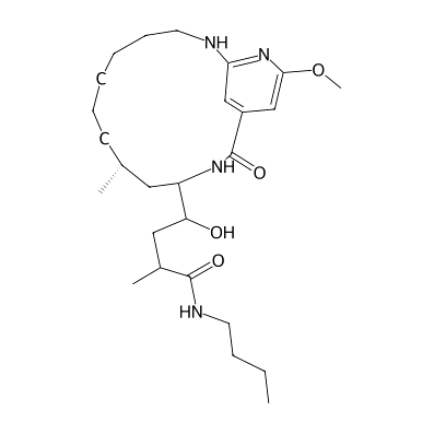 CCCCNC(=O)C(C)CC(O)C1C[C@H](C)CCCCCCNc2cc(cc(OC)n2)C(=O)N1